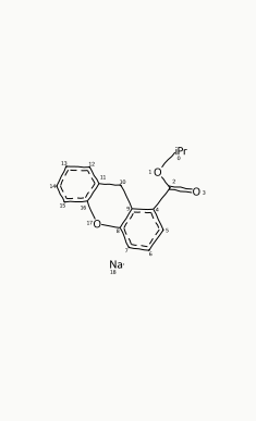 CC(C)OC(=O)c1cccc2c1Cc1ccccc1O2.[Na]